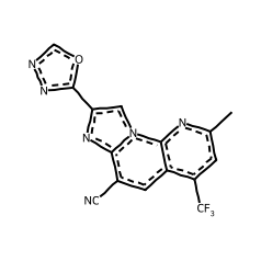 Cc1cc(C(F)(F)F)c2cc(C#N)c3nc(-c4nnco4)cn3c2n1